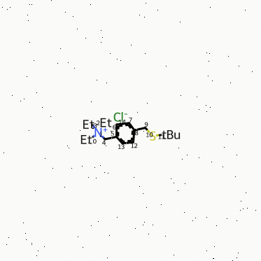 CC[N+](CC)(CC)Cc1ccc(CSC(C)(C)C)cc1.[Cl-]